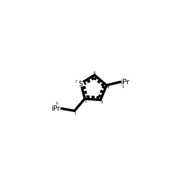 CC(C)Cc1cc(C(C)C)cs1